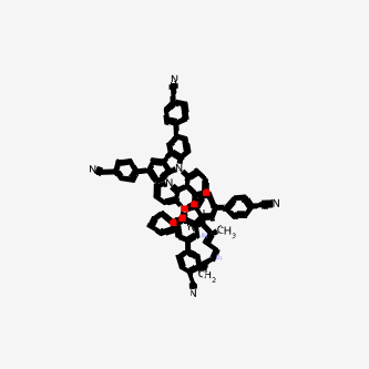 C=C/C=C\C=C(/C)c1nc(-c2ccccc2)nc(-c2cccc(-n3c4ccc(-c5ccc(C#N)cc5)cc4c4cc(-c5ccc(C#N)cc5)ccc43)c2-c2ncccc2-n2c3ccc(-c4ccc(C#N)cc4)cc3c3cc(-c4ccc(C#N)cc4)ccc32)n1